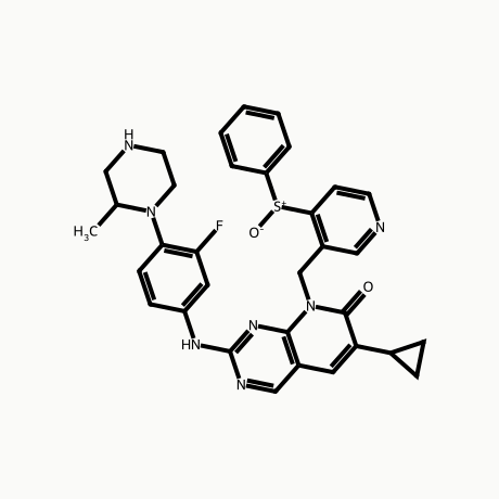 CC1CNCCN1c1ccc(Nc2ncc3cc(C4CC4)c(=O)n(Cc4cnccc4[S+]([O-])c4ccccc4)c3n2)cc1F